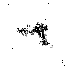 COC(=O)CNC(=O)CNC(=O)Cn1nc(C2CCN(C(=O)CCC(N)=O)CC2)c2c(-c3ccc4cnn(C)c4c3F)cccc21